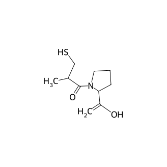 C=C(O)C1CCCN1C(=O)C(C)CS